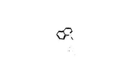 C[n+]1cccc2ccccc21.[O-][Cl+3]([O-])([O-])[O-]